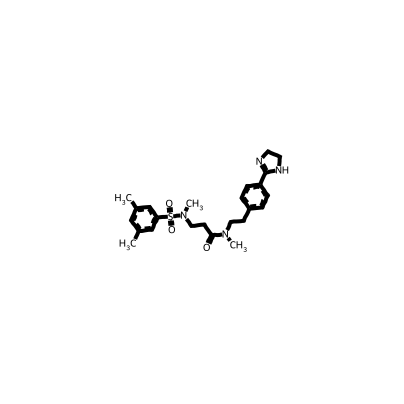 Cc1cc(C)cc(S(=O)(=O)N(C)CCC(=O)N(C)CCc2ccc(C3=NCCN3)cc2)c1